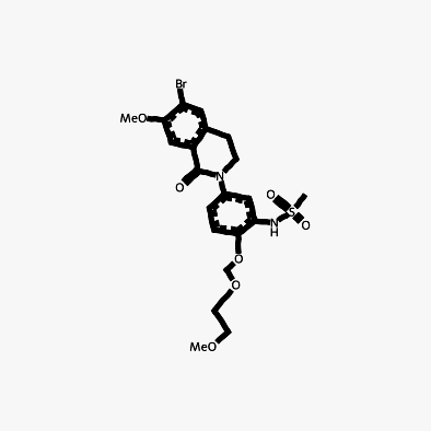 COCCOCOc1ccc(N2CCc3cc(Br)c(OC)cc3C2=O)cc1NS(C)(=O)=O